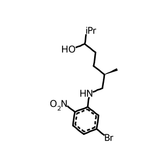 CC(C)C(O)CC[C@@H](C)CNc1cc(Br)ccc1[N+](=O)[O-]